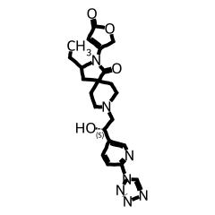 CCC1CC2(CCN(C[C@@H](O)c3ccc(-n4cnnn4)nc3)CC2)C(=O)N1C1=CC(=O)OC1